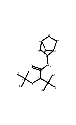 CC(C)(C)CC(C(=O)OC1CC2CCC1C2)C(C)(C)C